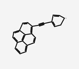 C(#Cc1ccc2ccc3cccc4ccc1c2c34)C1=CC[CH]C=C1